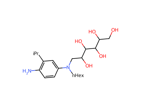 CCCCCCN(CC(O)C(O)C(O)C(O)CO)c1ccc(N)c(C(C)C)c1